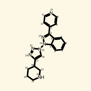 c1ccc2c(c1)c(-c1ccncc1)nn2-n1cc(C2CCCNC2)nn1